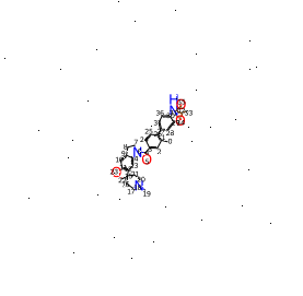 Cc1cc(C(=O)N2CCc3cc4c(cc32)C2(CCN(C)CC2)CO4)ccc1-c1ccc(NS(C)(=O)=O)cc1